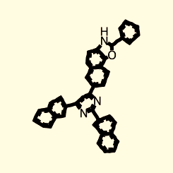 c1ccc(C2Nc3ccc4cc(-c5cc(-c6ccc7ccccc7c6)nc(-c6ccc7ccccc7c6)n5)ccc4c3O2)cc1